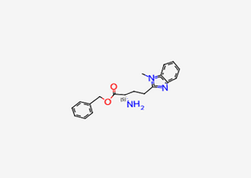 Cn1c(CC[C@H](N)C(=O)OCc2ccccc2)nc2ccccc21